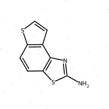 Nc1nc2c(ccc3sccc32)s1